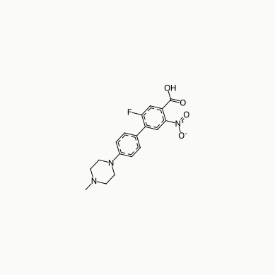 CN1CCN(c2ccc(-c3cc([N+](=O)[O-])c(C(=O)O)cc3F)cc2)CC1